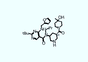 CC(C)CN(C(=O)c1cnc(C(C)(C)C)nc1NCc1ccco1)C1CNC[C@H](C(=O)N2CCC(C)(O)CC2)C1